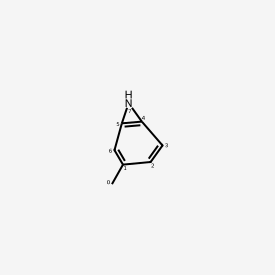 Cc1ccc2c(c1)N2